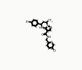 CCc1ccc(C2CC(C(F)(F)F)n3ncc(C(=O)NCc4ccc(Cl)cn4)c3N2)cc1